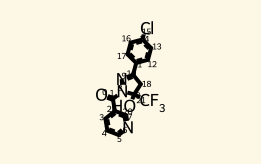 O=C(c1cccnc1)N1N=C(c2ccc(Cl)cc2)CC1(O)C(F)(F)F